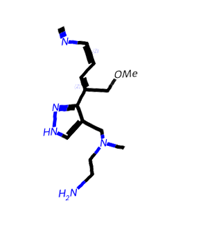 C=N/C=C\C=C(/COC)c1n[nH]cc1CN(C)CCN